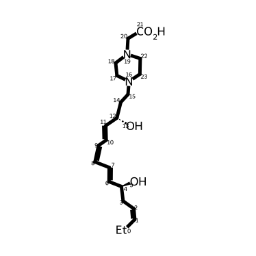 CC/C=C\C[C@H](O)/C=C/C=C\C=C\[C@@H](O)CCN1CCN(CC(=O)O)CC1